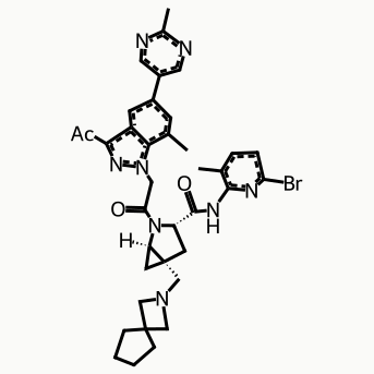 CC(=O)c1nn(CC(=O)N2[C@H](C(=O)Nc3nc(Br)ccc3C)C[C@@]3(CN4CC5(CCCC5)C4)C[C@@H]23)c2c(C)cc(-c3cnc(C)nc3)cc12